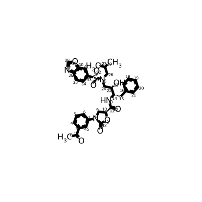 CC(=O)c1cccc(N2C[C@@H](C(=O)N[C@@H](Cc3ccccc3)[C@H](O)CN(CC(C)C)S(=O)(=O)c3ccc4ncoc4c3)OC2=O)c1